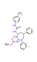 Cc1ccc(NC(=O)NC2CC(c3ccccc3)CC(c3cccc(F)c3)N(NC(=O)CC(C)(C)C)C2=O)cc1